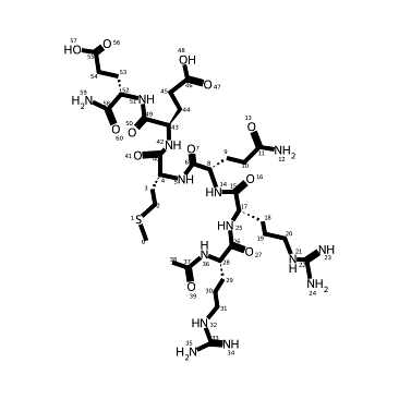 CSCC[C@@H](NC(=O)[C@H](CCC(N)=O)NC(=O)[C@H](CCCNC(=N)N)NC(=O)[C@H](CCCNC(=N)N)NC(C)=O)C(=O)N[C@H](CCC(=O)O)C(=O)N[C@@H](CCC(=O)O)C(N)=O